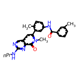 CCCNc1ncc2cc(-c3cc(NC(=O)c4cccc(C)c4)ccc3C)n(C)c(=O)c2n1